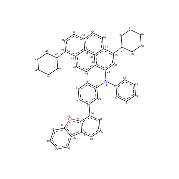 c1ccc(N(c2cccc(-c3cccc4c3oc3ccccc34)c2)c2cc(C3CCCCC3)c3ccc4ccc(C5CCCCC5)c5ccc2c3c45)cc1